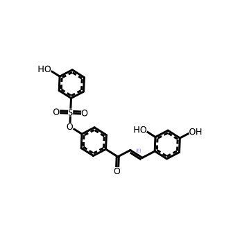 O=C(/C=C/c1ccc(O)cc1O)c1ccc(OS(=O)(=O)c2cccc(O)c2)cc1